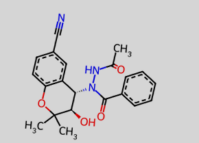 CC(=O)NN(C(=O)c1ccccc1)[C@H]1c2cc(C#N)ccc2OC(C)(C)[C@@H]1O